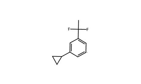 CC(F)(F)c1c[c]cc(C2CC2)c1